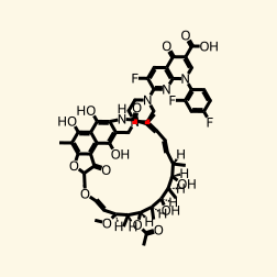 CO[C@H]1/C=C/O[C@@]2(C)Oc3c(C)c(O)c4c(O)c(c(CN5CCN(c6nc7c(cc6F)c(=O)c(C(=O)O)cn7-c6ccc(F)cc6F)CC5)c(O)c4c3C2=O)NC(=O)/C(C)=C\C=C\[C@H](C)[C@H](O)[C@@H](C)[C@@H](O)[C@@H](C)[C@H](OC(C)=O)[C@@H]1C